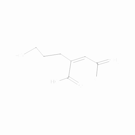 C=C(Cl)C=C(CCCO)C(=O)O